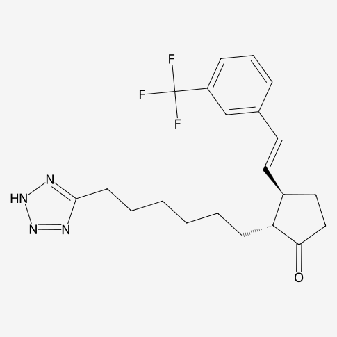 O=C1CC[C@H](/C=C/c2cccc(C(F)(F)F)c2)[C@H]1CCCCCCc1nn[nH]n1